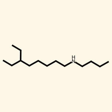 CCCCNCCCCCC(CC)CC